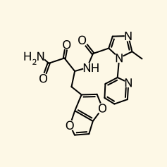 Cc1ncc(C(=O)NC(Cc2coc3ccoc23)C(=O)C(N)=O)n1-c1ccccn1